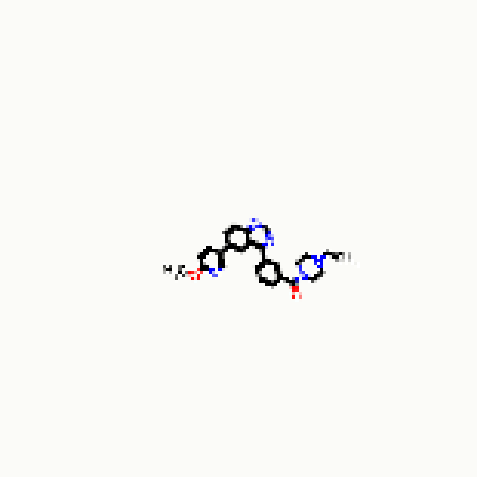 CCN1CCN(C(=O)c2cccc(-c3ncnc4ccc(-c5ccc(OC)nc5)cc34)c2)CC1